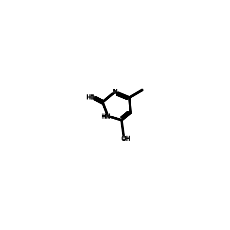 B=C1N=C(C)C=C(O)N1